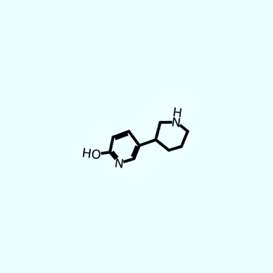 Oc1ccc(C2CCCNC2)cn1